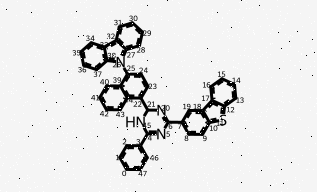 c1ccc(C2=NC(c3ccc4sc5ccccc5c4c3)=NC(c3ccc(-n4c5ccccc5c5ccccc54)c4ccccc34)N2)cc1